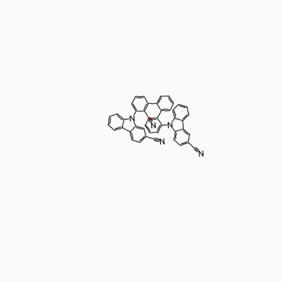 N#Cc1ccc2c(c1)c1ccccc1n2-c1ccccc1-c1ccccc1-c1cccc(-n2c3ccccc3c3ccc(C#N)cc32)c1C#N